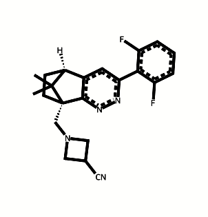 CC1(C)[C@H]2CC[C@]1(CN1CC(C#N)C1)c1nnc(-c3c(F)cccc3F)cc12